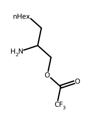 CCCCCCCC(N)COC(=O)C(F)(F)F